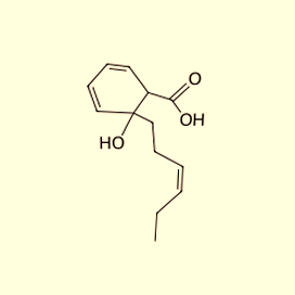 CC/C=C\CCC1(O)C=CC=CC1C(=O)O